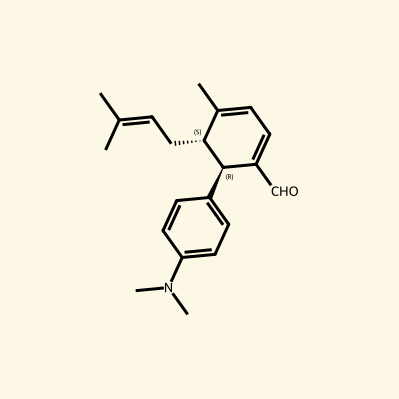 CC(C)=CC[C@@H]1C(C)=CC=C(C=O)[C@H]1c1ccc(N(C)C)cc1